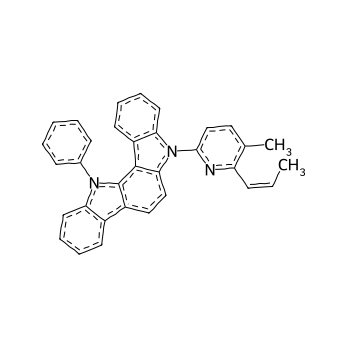 C/C=C\c1nc(-n2c3ccccc3c3c2ccc2c4ccccc4n(-c4ccccc4)c23)ccc1C